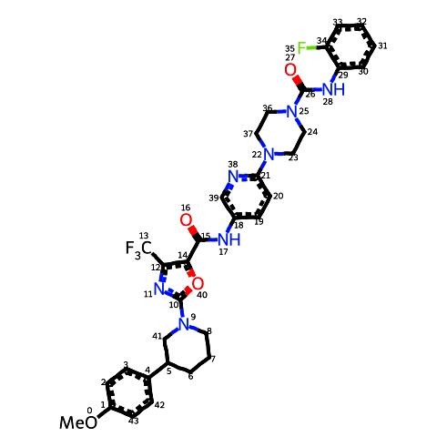 COc1ccc(C2CCCN(c3nc(C(F)(F)F)c(C(=O)Nc4ccc(N5CCN(C(=O)Nc6ccccc6F)CC5)nc4)o3)C2)cc1